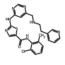 Cc1cccc(Cl)c1NC(=O)c1cnc(Nc2cc(CNCCc3cccnc3)ncn2)s1